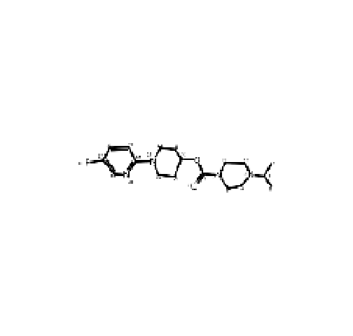 CC(C)N1CCN(C(=O)OC2CCN(c3ccc(F)cn3)CC2)CC1